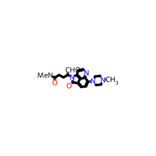 CNC(=O)CCC(C=O)N1C(=O)c2ccc(N3CCN(C)CC3)c3nccc1c23